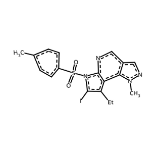 CCc1c(I)n(S(=O)(=O)c2ccc(C)cc2)c2ncc3cnn(C)c3c12